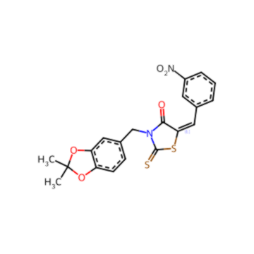 CC1(C)Oc2ccc(CN3C(=O)/C(=C\c4cccc([N+](=O)[O-])c4)SC3=S)cc2O1